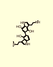 CNCCc1c[nH]c2c(O)cc(-c3ccc4[nH]cc(CCN(C)C)c4c3O)c(O)c12